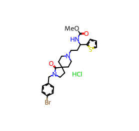 COC(=O)NC(CCN1CCC2(CC1)CCN(Cc1ccc(Br)cc1)C2=O)c1cccs1.Cl